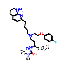 CCN(CC)C(=O)N[C@@H](CCN(CCCCc1ccc2c(n1)NCCC2)CCOc1ccc(F)cc1)C(=O)O